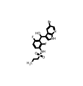 CCCS(=O)(=O)Nc1ccc(F)c(C(O)c2c[nH]c3ncc(Br)cc23)c1F